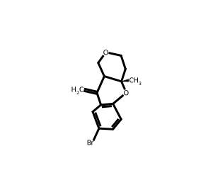 C=C1c2cc(Br)ccc2O[C@@]2(C)CCOCC12